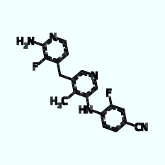 Cc1c(Cc2ccnc(N)c2F)cncc1Nc1ccc(C#N)cc1F